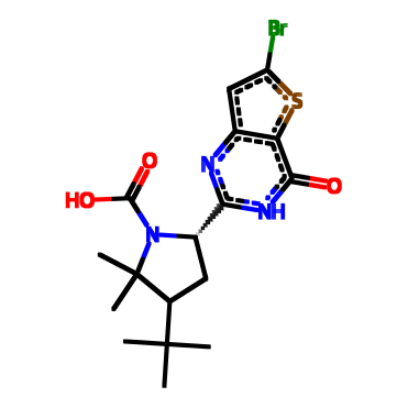 CC(C)(C)C1C[C@@H](c2nc3cc(Br)sc3c(=O)[nH]2)N(C(=O)O)C1(C)C